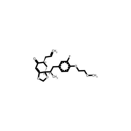 C=CC[C@H]1C[C@]2([C@H](C)Cc3ccc(OCCOC)c(F)c3)OCOC2=CC1=O